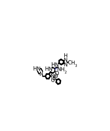 Cc1nc2cc(N/C(N)=C(\C=N)C(=O)c3cc4cc(CN5CCNCC5)ccc4n3S(=O)(=O)c3ccccc3)ccc2[nH]1